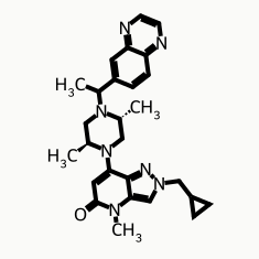 CC(c1ccc2nccnc2c1)N1C[C@H](C)N(c2cc(=O)n(C)c3cn(CC4CC4)nc23)C[C@H]1C